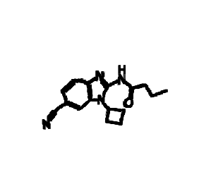 CCCC(=O)Nc1nc2ccc(C#N)cc2n1C1CCC1